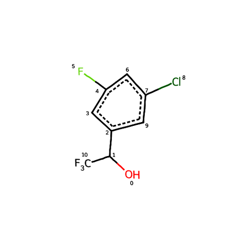 OC(c1cc(F)cc(Cl)c1)C(F)(F)F